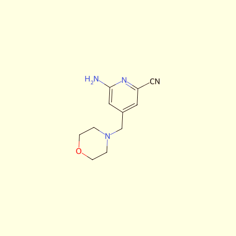 N#Cc1cc(CN2CCOCC2)cc(N)n1